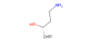 NCC[C@@H](O)[C]=O